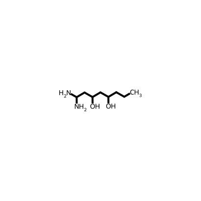 CCCC(O)CC(O)CC(N)N